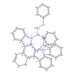 CC(NC(NCc1ccccc1)n1c2ccccc2c2c3c(c4c5ccccc5n(-c5ccccc5)c4c21)CCC=C3)c1ccccc1